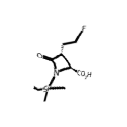 C[Si](C)(C)N1C(=O)[C@H](CCF)[C@H]1C(=O)O